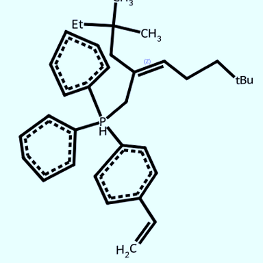 C=Cc1ccc([PH](C/C(=C\CCC(C)(C)C)CC(C)(C)CC)(c2ccccc2)c2ccccc2)cc1